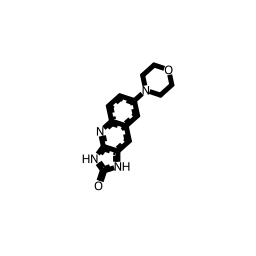 O=c1[nH]c2cc3cc(N4CCOCC4)ccc3nc2[nH]1